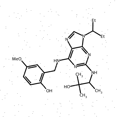 CCC(CC)n1cnc2c(NCc3cc(OC)ccc3O)nc(NC(C)C(C)(C)O)nc21